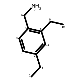 CCc1c[c]c(CN)c(CC)c1